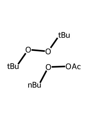 CC(C)(C)OOC(C)(C)C.CCCCOOC(C)=O